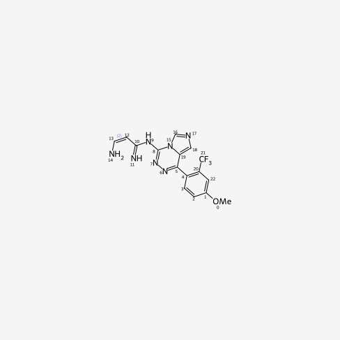 COc1ccc(-c2nnc(NC(=N)/C=C\N)n3cncc23)c(C(F)(F)F)c1